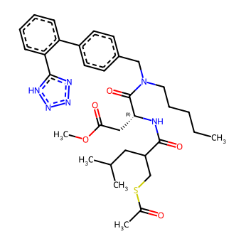 CCCCCN(Cc1ccc(-c2ccccc2-c2nnn[nH]2)cc1)C(=O)[C@@H](CC(=O)OC)NC(=O)C(CSC(C)=O)CC(C)C